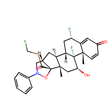 C[C@]12C=CC(=O)C=C1[C@@H](F)C[C@H]1[C@@H]3C[C@H]4CN(c5ccccc5)O[C@@]4(C(=O)SCF)[C@@]3(C)C[C@H](O)[C@@]12F